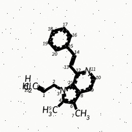 C=CCn1c(C)c(C)c2ccnc(C=Cc3ccccc3)c21.Cl